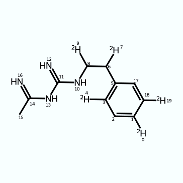 [2H]c1cc([2H])c(C([2H])C([2H])NC(=N)NC(C)=N)cc1[2H]